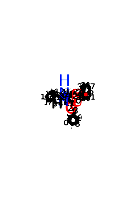 O=C(OCc1ccccc1)c1nc([C@@H]2CC3C=C[C@@H]2C3)[nH]c1COC12CC3CC(CC(C3)C1)C2